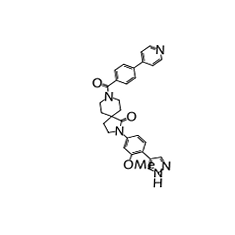 COc1cc(N2CCC3(CCN(C(=O)c4ccc(-c5ccncc5)cc4)CC3)C2=O)ccc1-c1cn[nH]c1